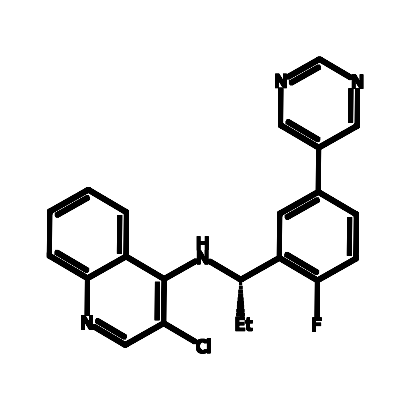 CC[C@H](Nc1c(Cl)cnc2ccccc12)c1cc(-c2cncnc2)ccc1F